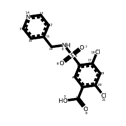 O=C(O)c1cc(S(=O)(=O)NCc2ccncc2)c(Cl)cc1Cl